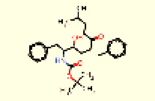 CC(C)CCC(=O)[C@H](Cc1ccccc1)C[C@H](O)[C@H](Cc1ccccc1)NC(=O)OC(C)(C)C